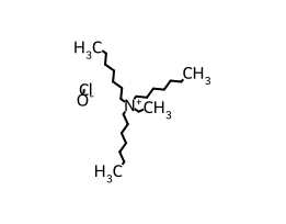 CCCCCCC[N+](CC)(CCCCCCC)CCCCCCC.[O-]Cl